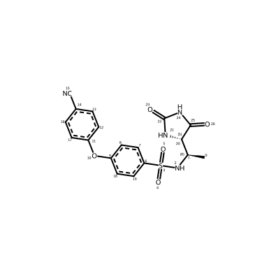 C[C@@H](NS(=O)(=O)c1ccc(Oc2ccc(C#N)cc2)cc1)[C@@H]1NC(=O)NC1=O